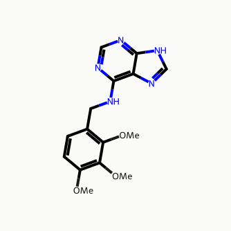 COc1ccc(CNc2ncnc3[nH]cnc23)c(OC)c1OC